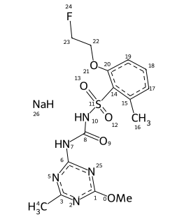 COc1nc(C)nc(NC(=O)NS(=O)(=O)c2c(C)cccc2OCCF)n1.[NaH]